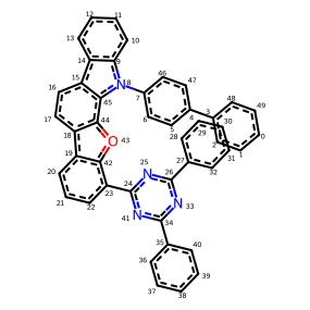 c1ccc(-c2ccc(-n3c4ccccc4c4ccc5c6cccc(-c7nc(-c8ccccc8)nc(-c8ccccc8)n7)c6oc5c43)cc2)cc1